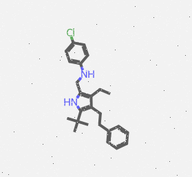 CCc1c(CNc2ccc(Cl)cc2)[nH]c(C(C)(C)C)c1CCc1ccccc1